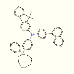 CC1(C)c2ccccc2-c2ccc(N(c3ccc(-c4cccc5ccccc45)cc3)c3ccc(C4(c5ccccc5)CCCCCCC4)cc3)cc21